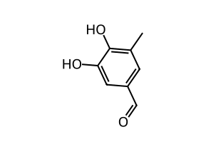 Cc1cc(C=O)cc(O)c1O